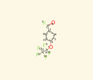 O=C(F)c1ccc(OC(F)(F)C(F)(F)F)cc1